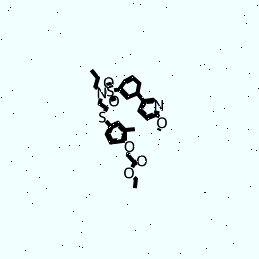 CCCN(CCSc1ccc(OCC(=O)OCC)c(C)c1)S(=O)(=O)C1=CC(c2ccc(OC)nc2)CC=C1